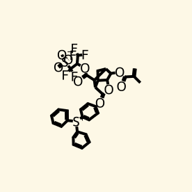 C=C(C)C(=O)OC1C2CC3C1OC(=O)C3C2C(=O)OC(C(F)(F)F)C(F)(F)S(=O)(=O)[O-].c1ccc([S+](c2ccccc2)c2ccccc2)cc1